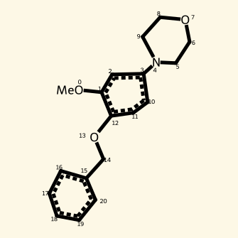 COc1cc(N2CCOCC2)ccc1OCc1ccccc1